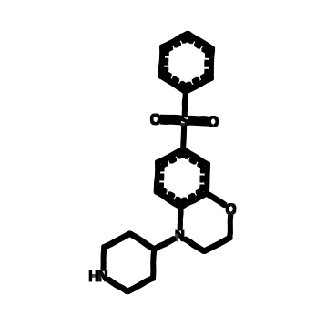 O=S(=O)(c1ccccc1)c1ccc2c(c1)OCCN2C1CCNCC1